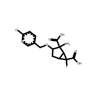 NC1(C(=O)O)C(OCc2ccc(Cl)nc2)CC2C1C2(F)C(=O)O